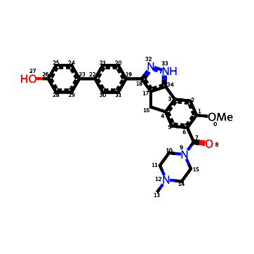 COc1cc2c(cc1C(=O)N1CCN(C)CC1)Cc1c(-c3ccc(-c4ccc(O)cc4)cc3)n[nH]c1-2